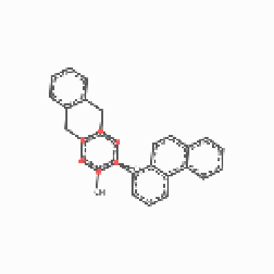 N#Cc1ccc2c(c1)C1c3ccccc3C2c2cc(C#N)c(-c3cccc4c3ccc3ccccc34)cc21